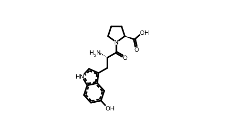 N[C@@H](Cc1c[nH]c2ccc(O)cc12)C(=O)N1CCC[C@H]1C(=O)O